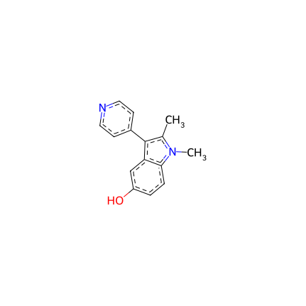 Cc1c(-c2ccncc2)c2cc(O)ccc2n1C